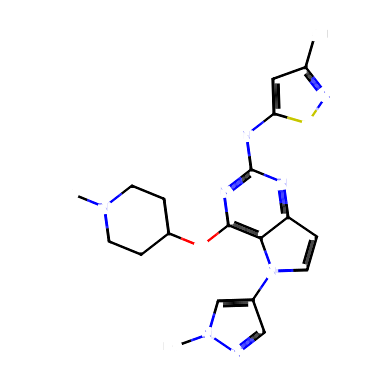 Cc1cc(Nc2nc(OC3CCN(C)CC3)c3c(ccn3-c3cnn(C)c3)n2)sn1